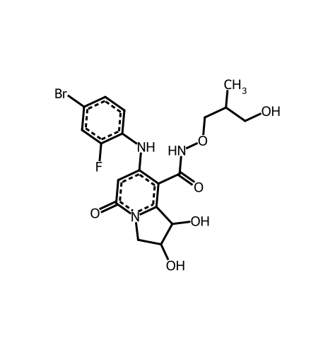 CC(CO)CONC(=O)c1c(Nc2ccc(Br)cc2F)cc(=O)n2c1C(O)C(O)C2